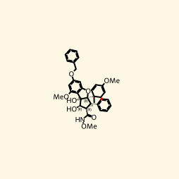 CONC(=O)[C@@H]1[C@@H](c2ccccc2)[C@]2(C3(C)C=CC(OC)=CC3)Oc3cc(OCc4ccccc4)cc(OC)c3[C@]2(O)[C@@H]1O